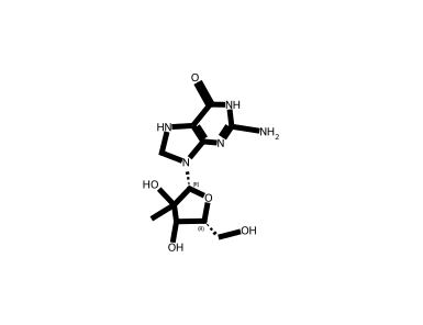 CC1(O)C(O)[C@@H](CO)O[C@H]1N1CNc2c1nc(N)[nH]c2=O